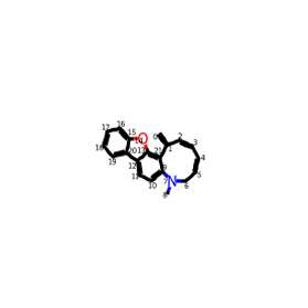 C=C1/C=C\C=C/CN(C)c2ccc3c(oc4ccccc43)c21